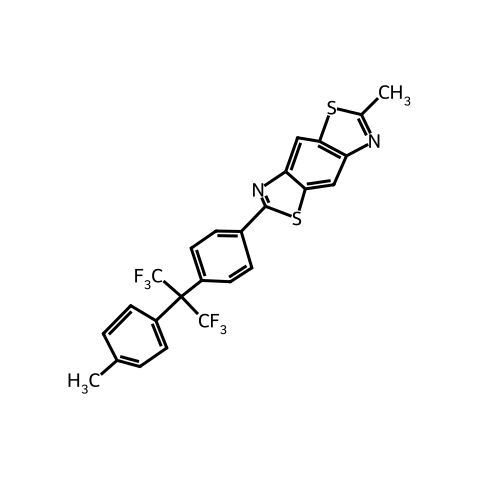 Cc1ccc(C(c2ccc(-c3nc4cc5sc(C)nc5cc4s3)cc2)(C(F)(F)F)C(F)(F)F)cc1